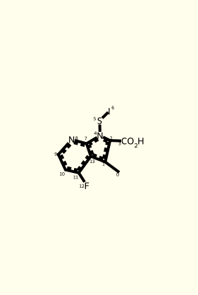 Cc1c(C(=O)O)n(SI)c2nccc(F)c12